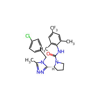 Cc1cc(C(F)(F)F)cc(C)c1NC(=O)N1CCC[C@@H]1c1nnc(C)n1Cc1ccc(Cl)cc1